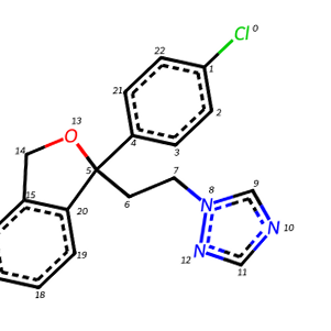 Clc1ccc(C2(CCn3cncn3)OCc3ccccc32)cc1